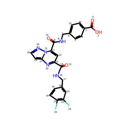 O=C(O)c1ccc(CNC(=O)c2cc(C(=O)NCc3ccc(F)c(F)c3)nc3ccnn23)cc1